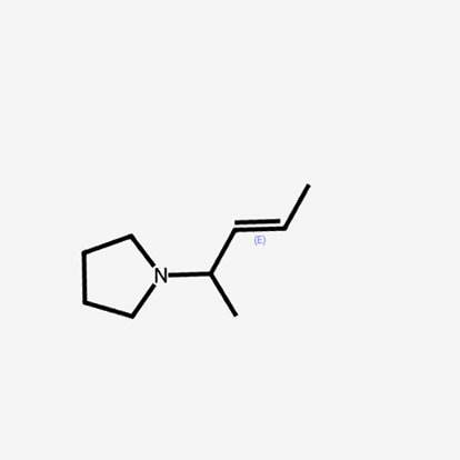 C/C=C/C(C)N1CCCC1